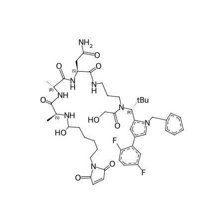 C[C@H](NC(O)CCCCCN1C(=O)C=CC1=O)C(=O)N[C@H](C)C(=O)N[C@@H](CC(N)=O)C(=O)NCCCN(C(=O)CO)[C@@H](c1cc(-c2cc(F)ccc2F)cn1Cc1ccccc1)C(C)(C)C